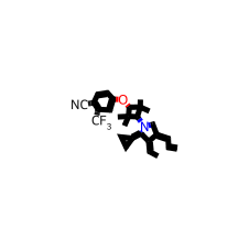 C=C/C=C1/CN(C2C(C)(C)C(Oc3ccc(C#N)c(C(F)(F)F)c3)C2(C)C)C(=C2CC2)/C1=C/C